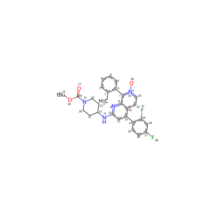 Cc1ccccc1-c1c2nc(NC3CCN(C(=O)OC(C)(C)C)CC3)cc(-c3ccc(F)cc3F)c2cc[n+]1[O-]